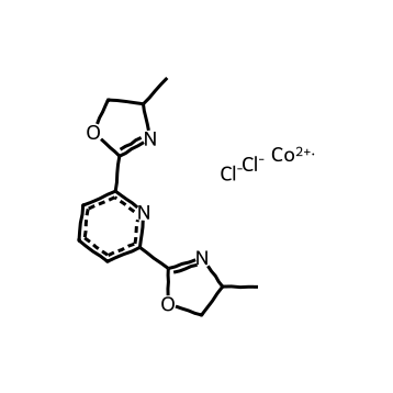 CC1COC(c2cccc(C3=NC(C)CO3)n2)=N1.[Cl-].[Cl-].[Co+2]